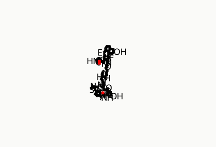 CCc1cccc2cc(O)cc(-c3ncc4c(N5CC6CCCC5CN6)nc(OCCN5CC[C@H]6CN(c7cc([C@H](C(=O)N8C[C@H](O)C[C@H]8C(=O)N[C@@H](C)c8ccc(-c9scnc9C)cc8)C(C)C)on7)C[C@H]6C5)nc4c3F)c12